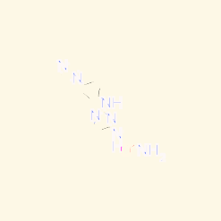 Cc1cc(Nc2ncc(F)c(N[C@@H]3CCC[C@H]3C(N)=O)n2)ccc1N1CCN(C)CC1